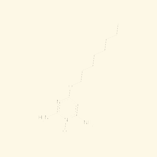 CCCCCCCCOc1cc(N)[n+]([O-])c(N)n1